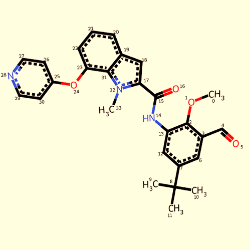 COc1c(C=O)cc(C(C)(C)C)cc1NC(=O)c1cc2cccc(Oc3ccncc3)c2n1C